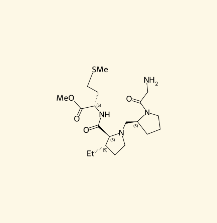 CC[C@H]1CCN(C[C@@H]2CCCN2C(=O)CN)[C@@H]1C(=O)N[C@@H](CCSC)C(=O)OC